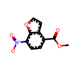 COC(=O)c1ccc([N+](=O)[O-])c2occc12